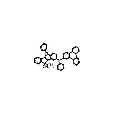 CC1(C)c2ccccc2-c2c1c1c(n2-c2ccccc2)=CCC(N(c2ccccc2)c2ccc3c(c2)-c2ccccc2C2C=CC=CC32)C=1